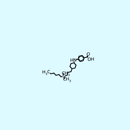 CCCCCC[Si](C)(C)CCCC1CCC(Nc2ccc(C(=O)O)cc2)CC1